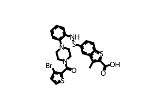 Cc1c(C(=O)O)sc2ccc(SNc3ccccc3N3CCN(C(=O)c4sccc4Br)CC3)cc12